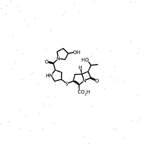 CC(O)C1C(=O)N2C(C(=O)O)=C(SC3CNC(C(=O)N4CCC(O)C4)C3)C[C@H]12